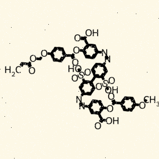 C=CC(=O)OCOc1ccc(C(=O)Oc2ccc(/N=N\c3ccc(-c4ccc(/N=N\c5ccc(OC(=O)c6ccc(OC)cc6)c(C(=O)O)c5)cc4S(=O)(=O)O)c(S(=O)(=O)O)c3)cc2C(=O)O)cc1